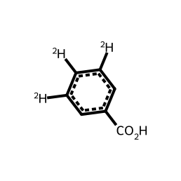 [2H]c1cc(C(=O)O)cc([2H])c1[2H]